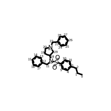 CCCc1ccc(S(=O)(=O)N(Cc2ccccc2)C2CCN(Cc3ccccc3)C2)cc1